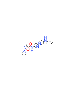 C=C(CC1CC1)NC1CCN(c2ccc(NC(=O)c3oc(N4CCCCC4)nc3C)cn2)CC1